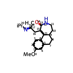 COc1ccc2c(c1)CCC1CCNC(=O)C(C/C(C)=N/C(C)C)=C21